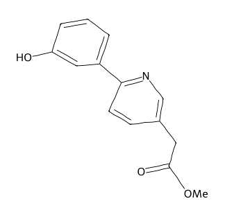 COC(=O)Cc1ccc(-c2cccc(O)c2)nc1